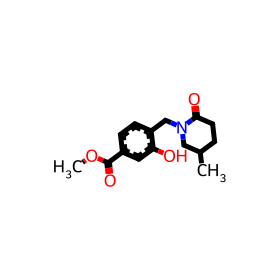 COC(=O)c1ccc(CN2CC(C)CCC2=O)c(O)c1